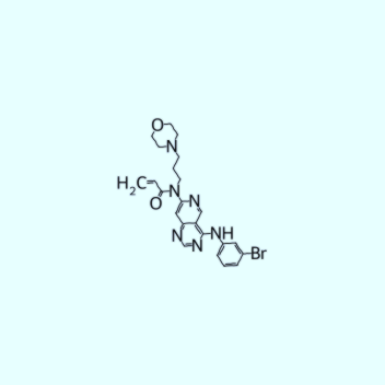 C=CC(=O)N(CCCN1CCOCC1)c1cc2ncnc(Nc3cccc(Br)c3)c2cn1